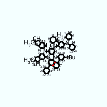 CC1(C)Cc2ccc(N3c4cc5c(cc4B4c6cc(-c7ccccc7)ccc6N(c6ccc(C(C)(C)C)cc6-c6ccccc6)c6cc(N7c8ccc(N(c9ccccc9)c9ccccc9)cc8C8(C)CCCCC78C)cc3c64)CC(C)(C)C5)cc2C1